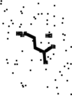 CCN(CC)CCC(=O)O.Cl